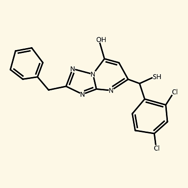 Oc1cc(C(S)c2ccc(Cl)cc2Cl)nc2nc(Cc3ccccc3)nn12